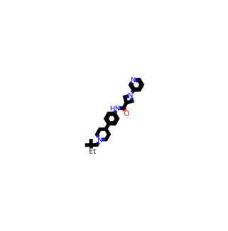 CCC(C)(C)CN1CCC(c2ccc(NC(=O)C3CN(c4cccnc4)C3)cc2)CC1